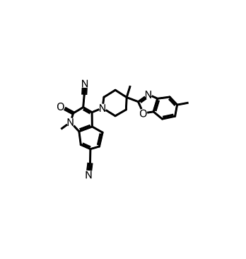 Cc1ccc2oc(C3(C)CCN(c4c(C#N)c(=O)n(C)c5cc(C#N)ccc45)CC3)nc2c1